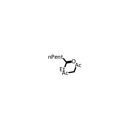 CC(=O)CC(C)=O.CCCCCC(=O)CC